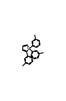 Cc1cccc(C2=CC=C[Si]2(c2cccc(C)c2)c2cccc(C)c2)c1